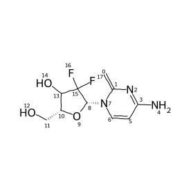 C=C1N=C(N)C=CN1[C@@H]1O[C@H](CO)C(O)C1(F)F